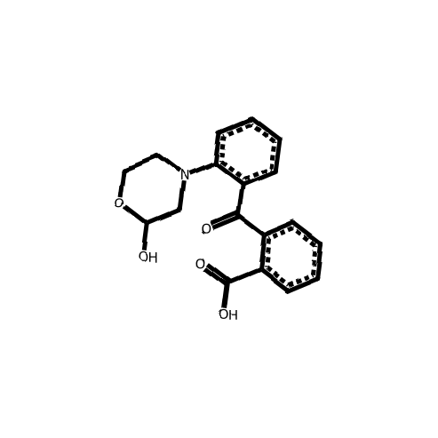 O=C(O)c1ccccc1C(=O)c1ccccc1N1CCOC(O)C1